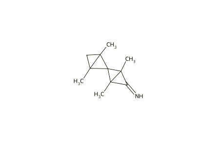 CC12CC1(C)C21C2(C)C(=N)C21C